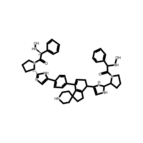 O=C(C(NO)c1ccccc1)N1CCCC1C1NC=C(C2CC=C(c3ccc(-c4cnc([C@@H]5CCCN5C(=O)[C@@H](NO)c5ccccc5)[nH]4)cc3)C3=C2CCC32CCNCC2)N1